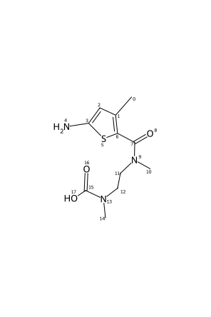 Cc1cc(N)sc1C(=O)N(C)CCN(C)C(=O)O